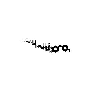 CCNCCNCCNCc1nc2ccc(Cc3ccc(F)cc3)cc2n1C